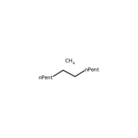 C.[CH2]CCCCCCCCCCC